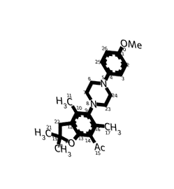 COc1ccc(N2CCN(c3c(C)c4c(c(C(C)=O)c3C)OC(C)(C)C4)CC2)cc1